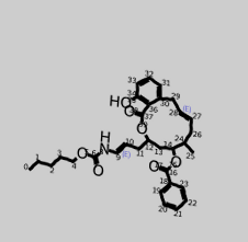 CCCCCOC(=O)N/C=C/CC1CC(OC(=O)c2ccccc2)C(C)C/C=C/Cc2cccc(O)c2C(=O)O1